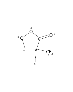 O=C1OOCC1(I)C(F)(F)F